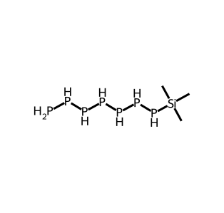 C[Si](C)(C)PPPPPPP